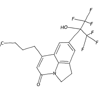 CCCCc1cc(=O)n2c3c(cc(C(O)(C(F)(F)F)C(F)(F)F)cc13)CC2